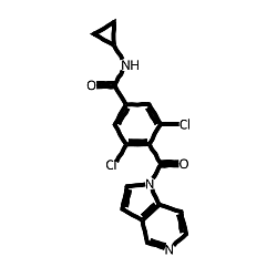 O=C(NC1CC1)c1cc(Cl)c(C(=O)n2ccc3cnccc32)c(Cl)c1